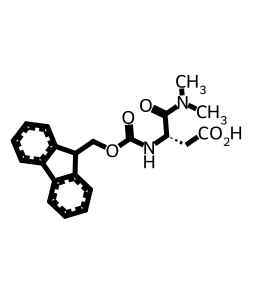 CN(C)C(=O)[C@H](CC(=O)O)NC(=O)OCC1c2ccccc2-c2ccccc21